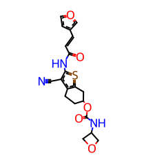 N#Cc1c(NC(=O)C=Cc2ccoc2)sc2c1CCC(OC(=O)NC1COC1)C2